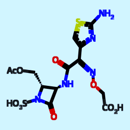 CC(=O)OC[C@@H]1[C@H](NC(=O)C(=NOCC(=O)O)c2csc(N)n2)C(=O)N1S(=O)(=O)O